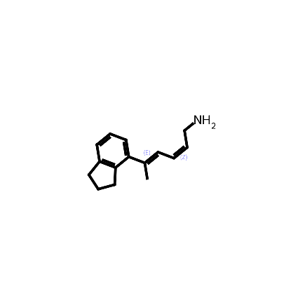 C/C(=C\C=C/CN)c1cccc2c1CCC2